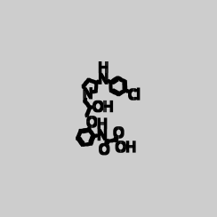 O=C(O)C(=O)Nc1ccccc1OCC(O)CN1CCC(Nc2ccc(Cl)cc2)C1